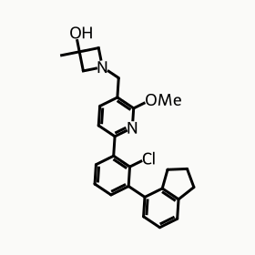 COc1nc(-c2cccc(-c3cccc4c3CCC4)c2Cl)ccc1CN1CC(C)(O)C1